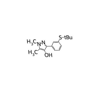 Cc1c(O)c(-c2cccc(SC(C)(C)C)c2)nn1C